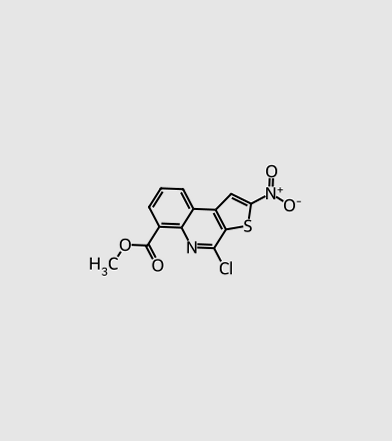 COC(=O)c1cccc2c1nc(Cl)c1sc([N+](=O)[O-])cc12